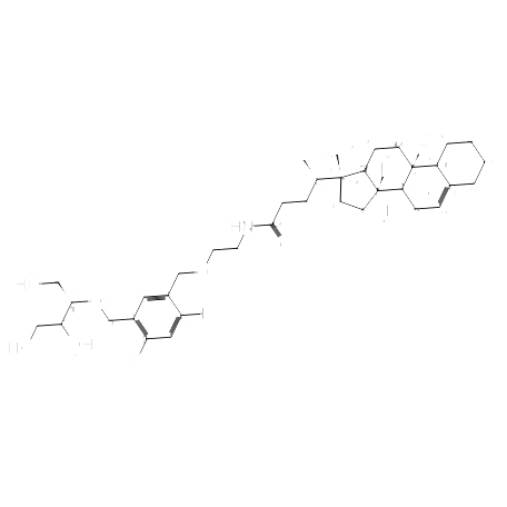 C[C@H](CCC(=O)NCCOCc1cc(CO[C@H](CO)C(O)CO)c(F)cc1F)[C@@]1(C)CC[C@H]2[C@@H]3CC=C4CCCC[C@]4(C)[C@H]3CC[C@@]21C